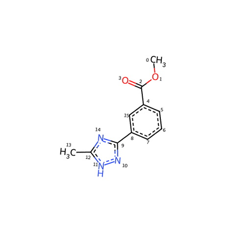 COC(=O)c1cccc(-c2n[nH]c(C)n2)c1